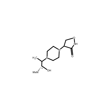 CN[C@@H](O)C(C)N1CCN(C2CONC2=O)CC1